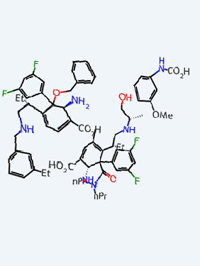 CCCN(CCC)C(=O)C1(c2cc(F)cc(F)c2)C([C@@H](CC)CN[C@@H](C)CO)=C(C)C=C(C(=O)O)[C@H]1N.CCc1cccc(CNC[C@H](CC)C2=CC=C(C(=O)O)[C@H](N)C2(OCc2ccccc2)c2cc(F)cc(F)c2)c1.COc1cccc(NC(=O)O)c1